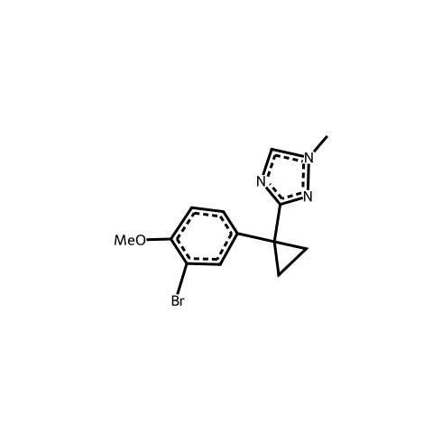 COc1ccc(C2(c3ncn(C)n3)CC2)cc1Br